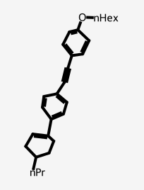 CCCCCCOc1ccc(C#Cc2ccc(C3=CCC(CCC)CC3)cc2)cc1